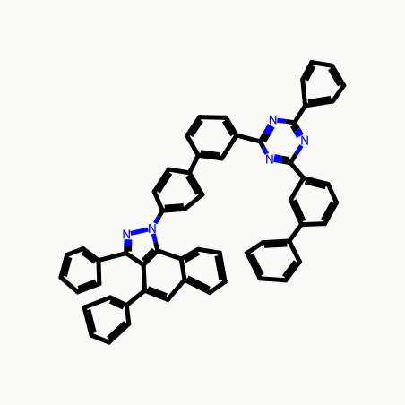 c1ccc(-c2cccc(-c3nc(-c4ccccc4)nc(-c4cccc(-c5ccc(-n6nc(-c7ccccc7)c7c(-c8ccccc8)cc8ccccc8c76)cc5)c4)n3)c2)cc1